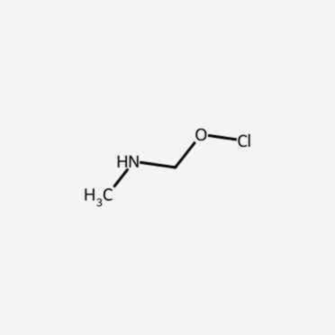 CNCOCl